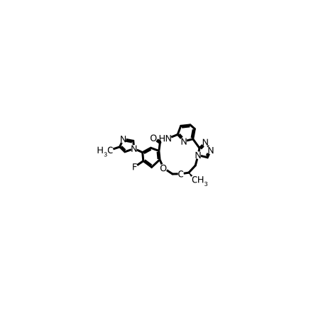 Cc1cn(-c2cc3c(cc2F)OCC[C@H](C)Cn2cnnc2-c2cccc(n2)NC3=O)cn1